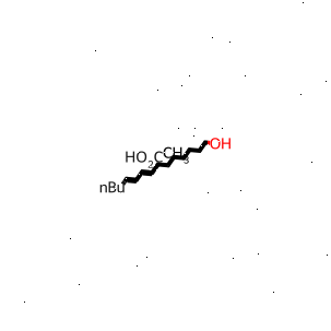 CC(=O)O.CCCCC=CC=CCCCCCCCO